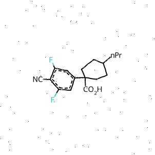 CCCC1CCC(C(=O)O)(c2cc(F)c(C#N)c(F)c2)CC1